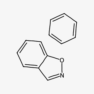 c1ccc2oncc2c1.c1ccccc1